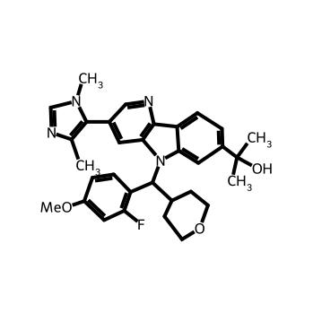 COc1ccc(C(C2CCOCC2)n2c3cc(C(C)(C)O)ccc3c3ncc(-c4c(C)ncn4C)cc32)c(F)c1